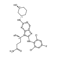 CCC[C@H](CCC(N)=O)n1c(Nc2c(Cl)cc(F)cc2Cl)nc2cnc(N[C@H]3CCC[C@H](O)C3)nc21